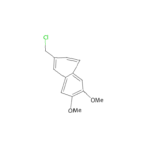 COc1cc2ccc(CCl)cc2cc1OC